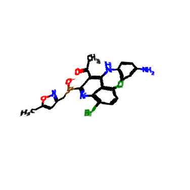 CC(=O)c1c([S+]([O-])Cc2cc(C)on2)nc2c(Br)ccc(Cl)c2c1Nc1ccc(N)cc1